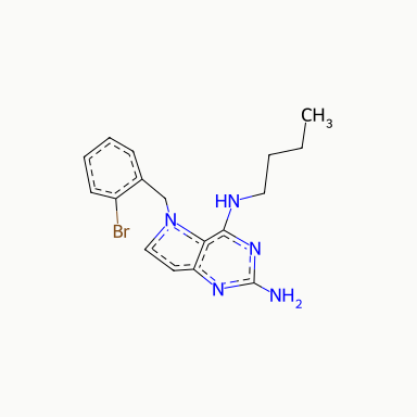 CCCCNc1nc(N)nc2ccn(Cc3ccccc3Br)c12